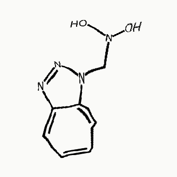 ON(O)Cn1nnc2ccccc21